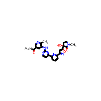 CNC(=O)c1cnc(C)c(Nc2nccc(-c3cccc(-c4cc([C@]5(O)CCN(C)C5=O)on4)n3)n2)c1